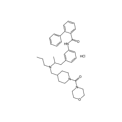 CCCN(CC1CCN(C(=O)N2CCOCC2)CC1)C(C)Cc1cccc(NC(=O)c2ccccc2-c2ccccc2)c1.Cl